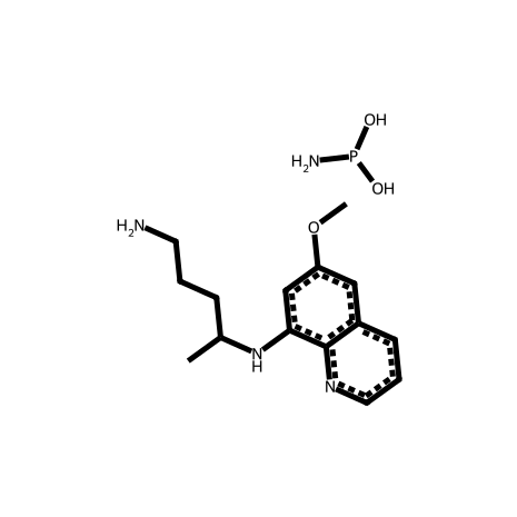 COc1cc(NC(C)CCCN)c2ncccc2c1.NP(O)O